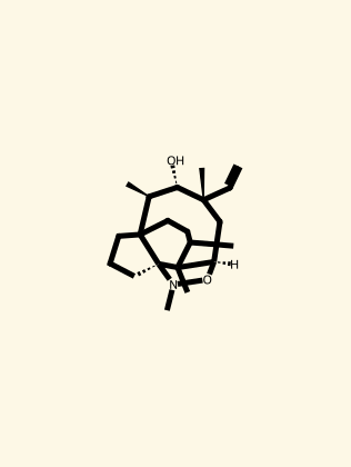 C=C[C@]1(C)C[C@H]2ON(C)[C@@]34CCCC3(CCC(C)C24C)[C@@H](C)[C@@H]1O